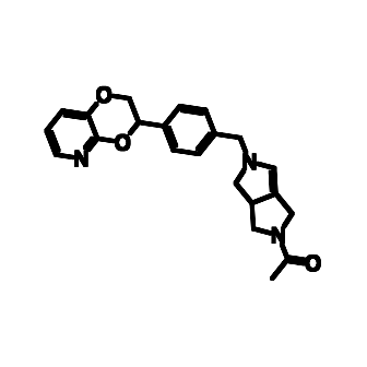 CC(=O)N1CC2=CN(Cc3ccc(C4COc5cccnc5O4)cc3)CC2C1